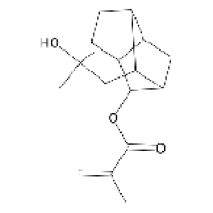 C=C(C)C(=O)OC1C2CCC3C2CC1C3CC(C)(C)O